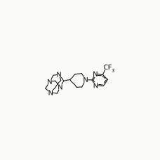 FC(F)(F)c1ccnc(N2CCC(C3N4CN5CN(C4)CN3C5)CC2)n1